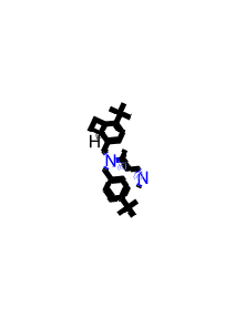 C/N=C\C=C(/C)N(CC1=CC=C(C(C)(C)C)C2CC[C@H]12)Cc1ccc(C(C)(C)C)cc1